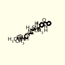 CC(C)(C)OC(=O)NC1CCN(c2ccc(C(C)(C)NC(=O)c3cc4[nH]c5ccccc5c(=O)c4cc3F)cn2)CC1